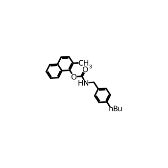 CCCCc1ccc(CNC(=O)Oc2c(C)ccc3ccccc23)cc1